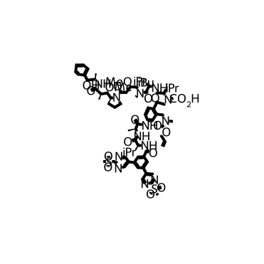 C=CCOC(=O)N(C)Cc1cc(NC(=O)[C@H](C)NC(=O)[C@@H](NC(=O)c2cc(-c3cnc(S(C)(=O)=O)nc3)cc(-c3cnc(S(C)(=O)=O)nc3)c2)C(C)C)ccc1CCN(C(=O)O)C(C(=O)NC(C(=O)N(C)C([C@@H](C)CC)[C@@H](CC(=O)N1CCC[C@H]1[C@H](OC)[C@@H](C)C(=O)N[C@H](C)[C@@H](O)c1ccccc1)OC)C(C)C)C(C)C